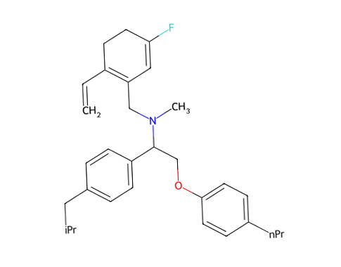 C=CC1=C(CN(C)C(COc2ccc(CCC)cc2)c2ccc(CC(C)C)cc2)C=C(F)CC1